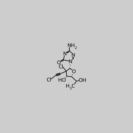 C[C@H](O)[C@H]1O[C@@H](n2cnc(N)nc2=O)C(Cl)(C#CCl)[C@H]1O